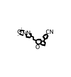 C[C@@H]1CN(c2ccc(CCC3C=Cc4c(cccc4-c4ccc(C#N)cc4)C(=O)C3)cn2)C[C@H](C)O1